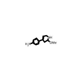 COC1CC(c2ccc(N)cc2)=CCN1